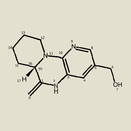 C=C1Nc2cc(CO)cnc2N2CCCC[C@@H]12